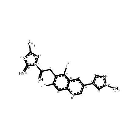 Cc1nn(C(=N)Cc2c(F)cc3ncc(-c4cnn(C)c4)cc3c2F)c(=N)s1